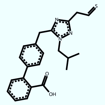 CC(C)Cn1nc(CC=S)nc1Cc1ccc(-c2ccccc2C(=O)O)cc1